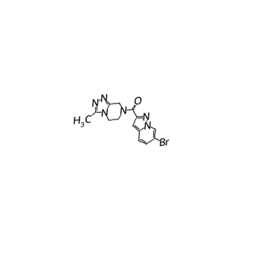 Cc1nnc2n1CCN(C(=O)c1cc3ccc(Br)cn3n1)C2